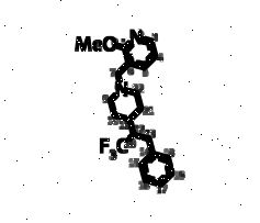 COc1ncccc1CN1CCC(C(Cc2ccccc2)C(F)(F)F)CC1